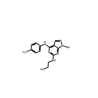 Cc1ccc(Nc2nc(NCCO)nc3c2cnn3C(C)C)cc1